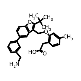 Cc1ccc(CC(=O)O)c(OCc2c(C(C)(C)C)oc3ccc(-c4cccc(CN)c4)cc23)c1